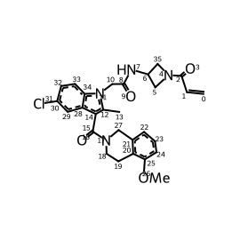 C=CC(=O)N1CC(NC(=O)Cn2c(C)c(C(=O)N3CCc4c(cccc4OC)C3)c3cc(Cl)ccc32)C1